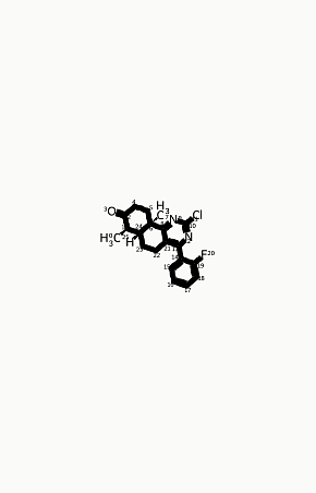 C[C@H]1C(=O)CC[C@@]2(C)c3nc(Cl)nc(-c4ccccc4F)c3CC[C@H]12